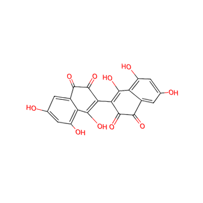 O=C1C(=O)c2cc(O)cc(O)c2C(O)=C1C1=C(O)c2c(O)cc(O)cc2C(=O)C1=O